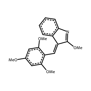 COC1=Nc2ccccc2C1=Cc1c(OC)cc(OC)cc1OC